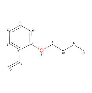 C=Cc1ccccc1OCCCC